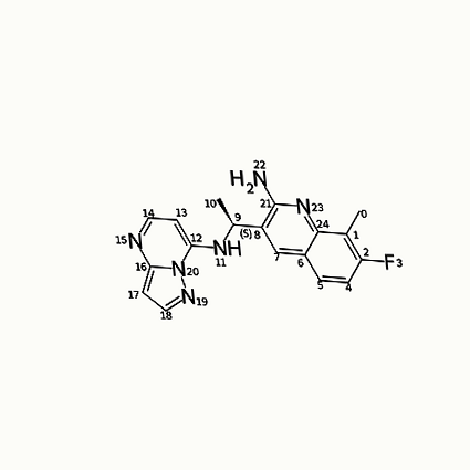 Cc1c(F)ccc2cc([C@H](C)Nc3ccnc4ccnn34)c(N)nc12